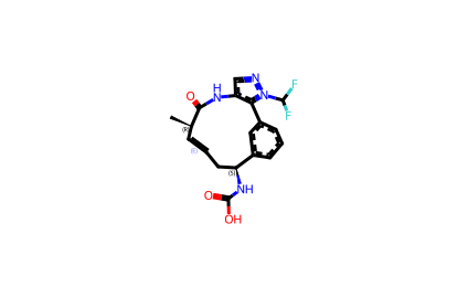 C[C@@H]1/C=C/C[C@H](NC(=O)O)c2cccc(c2)-c2c(cnn2C(F)F)NC1=O